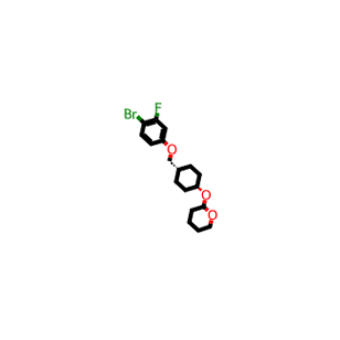 Fc1cc(OC[C@H]2CC[C@H](OC3CCCCO3)CC2)ccc1Br